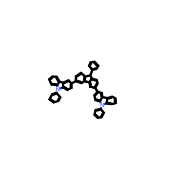 c1ccc(C2c3ccc(-c4ccc5c(c4)c4ccccc4n5-c4ccccc4)cc3-c3cc(-c4ccc5c(c4)c4ccccc4n5-c4ccccc4)ccc32)cc1